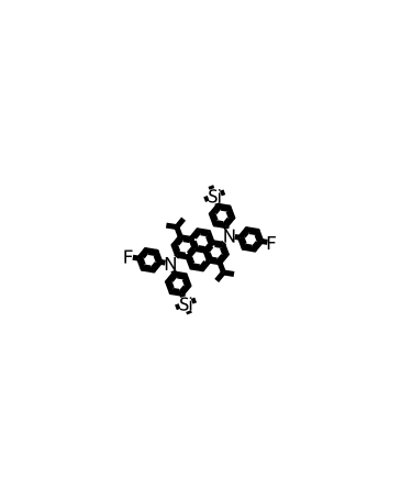 CC(C)c1cc(N(c2ccc(F)cc2)c2ccc([Si](C)(C)C)cc2)c2ccc3c(C(C)C)cc(N(c4ccc(F)cc4)c4ccc([Si](C)(C)C)cc4)c4ccc1c2c34